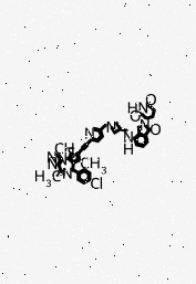 Cc1c(C#Cc2ccc(CN3CC(CNc4cccc5c4CN(C4CCC(=O)NC4=O)C5=O)C3)cn2)sc2c1C(c1ccc(Cl)cc1)=N[C@@H](C)c1nnc(C)n1-2